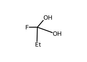 CCC(O)(O)F